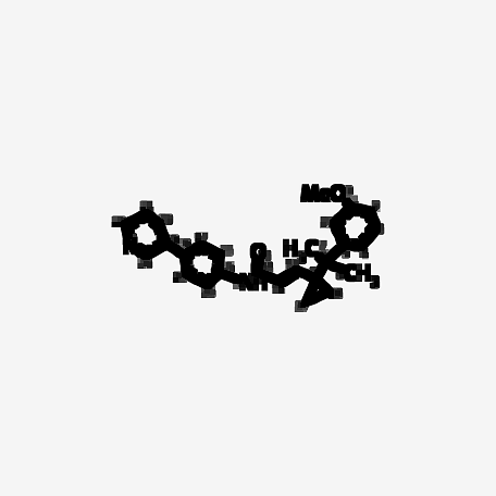 COc1cccc(C(C)(C)C2(/C=C/C(=O)Nc3ccc(-c4cccnc4)cc3)CC2)c1